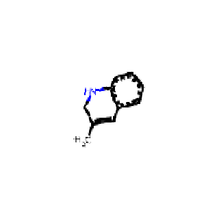 [CH2]C1=Cc2ccccc2NC1